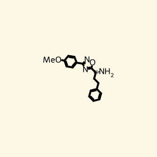 COc1ccc(-c2noc([C@H](N)CCc3ccccc3)n2)cc1